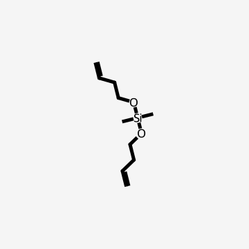 C=CCCO[Si](C)(C)OCCC=C